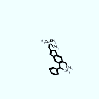 CCc1cc2c(cc1C(C)c1ccccc1)C=C(CS(C)(C)C)C2